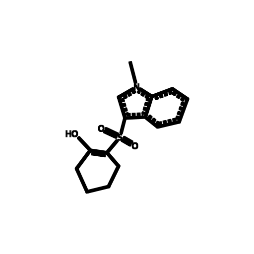 Cn1cc(S(=O)(=O)C2=C(O)CCCC2)c2ccccc21